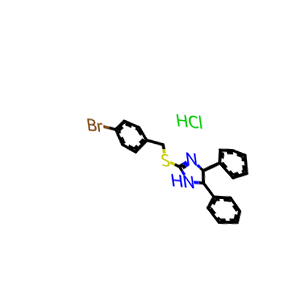 Brc1ccc(CSC2=NC(c3ccccc3)C(c3ccccc3)N2)cc1.Cl